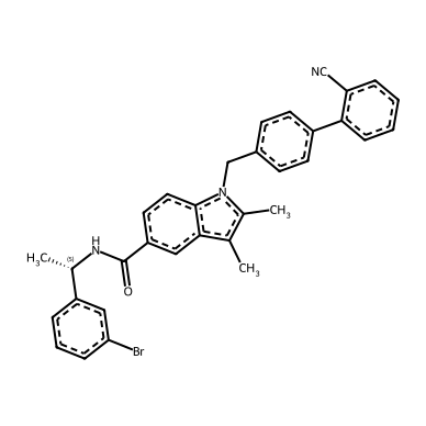 Cc1c(C)n(Cc2ccc(-c3ccccc3C#N)cc2)c2ccc(C(=O)N[C@@H](C)c3cccc(Br)c3)cc12